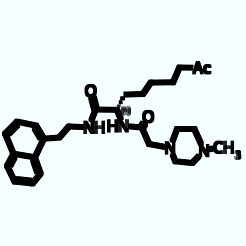 CC(=O)CCCCC[C@H](NC(=O)CN1CCN(C)CC1)C(=O)NCCc1cccc2ccccc12